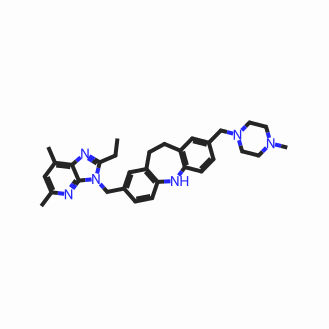 CCc1nc2c(C)cc(C)nc2n1Cc1ccc2c(c1)CCc1cc(CN3CCN(C)CC3)ccc1N2